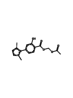 CC(=O)OCOC(=O)c1ccc(-n2c(C)ccc2C)cc1O